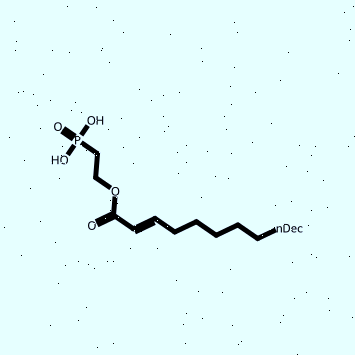 CCCCCCCCCCCCCCCC=CC(=O)OCCP(=O)(O)O